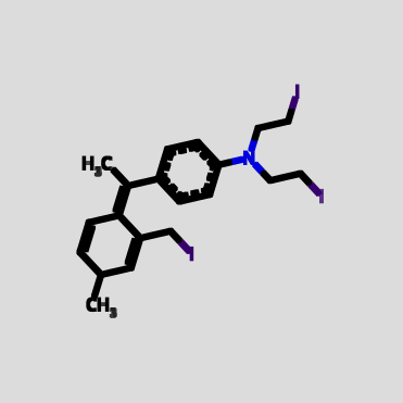 C/C(=C1\C=CC(C)C=C1CI)c1ccc(N(CCI)CCI)cc1